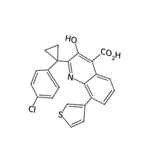 O=C(O)c1c(O)c(C2(c3ccc(Cl)cc3)CC2)nc2c(-c3ccsc3)cccc12